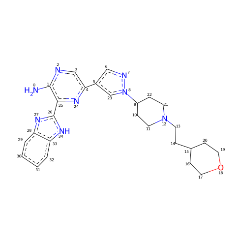 Nc1ncc(-c2cnn(C3CCN(CCC4CCOCC4)CC3)c2)nc1-c1nc2ccccc2[nH]1